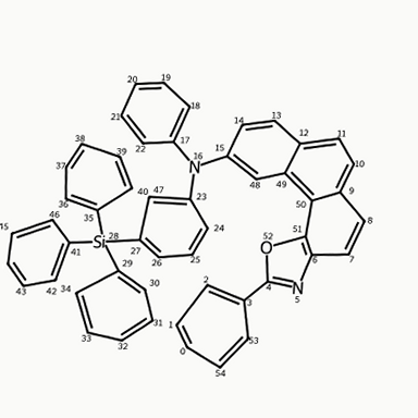 c1ccc(-c2nc3ccc4ccc5ccc(N(c6ccccc6)c6cccc([Si](c7ccccc7)(c7ccccc7)c7ccccc7)c6)cc5c4c3o2)cc1